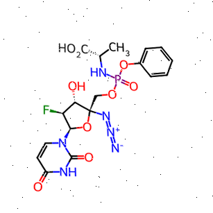 C[C@H](NP(=O)(OC[C@@]1(N=[N+]=[N-])O[C@@H](n2ccc(=O)[nH]c2=O)[C@@H](F)[C@@H]1O)Oc1ccccc1)C(=O)O